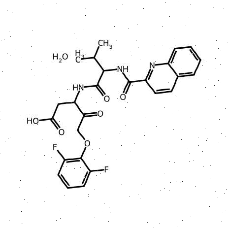 CC(C)C(NC(=O)c1ccc2ccccc2n1)C(=O)NC(CC(=O)O)C(=O)COc1c(F)cccc1F.O